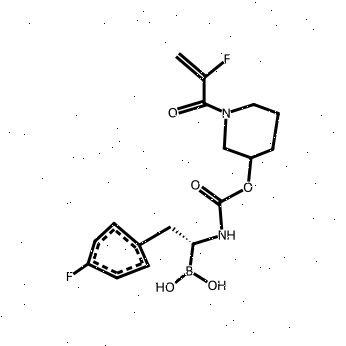 C=C(F)C(=O)N1CCCC(OC(=O)N[C@@H](Cc2ccc(F)cc2)B(O)O)C1